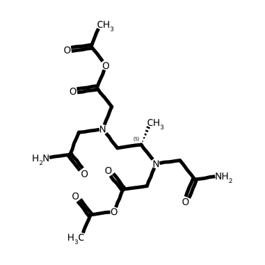 CC(=O)OC(=O)CN(CC(N)=O)C[C@H](C)N(CC(N)=O)CC(=O)OC(C)=O